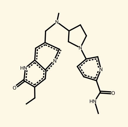 CCc1cc2ncc(CN(C)C3CCN(c4ccc(C(=O)NC)nc4)C3)cc2[nH]c1=O